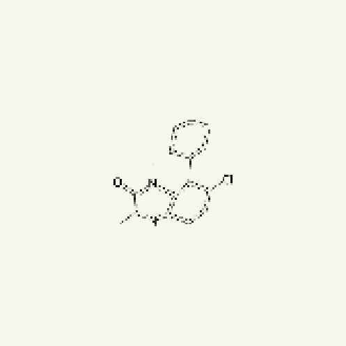 Cc1nc2ccc(Cl)c(-c3ccccc3)c2n(C)c1=O